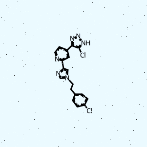 Clc1ccc(CCn2cnc(-c3cc(-c4nn[nH]c4Cl)ccn3)c2)cc1